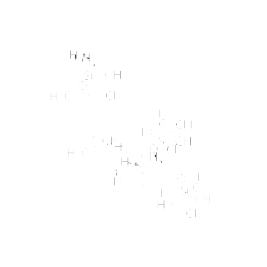 CCC(CC)(CCCOC(C)(C)C1=CC[C@H]2C3=CC=C4C[C@@H](O[Si](C)(C)C(C)(C)C)C[C@H](O[Si](C)(C)C(C)(C)C)[C@]4(C)[C@H]3CC[C@]12C)O[Si](CC)(CC)CC